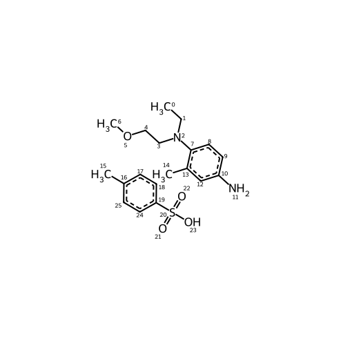 CCN(CCOC)c1ccc(N)cc1C.Cc1ccc(S(=O)(=O)O)cc1